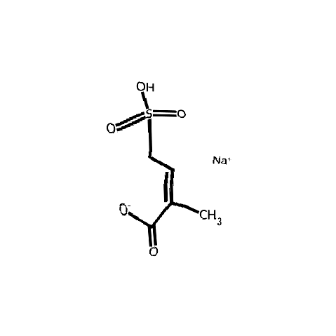 CC(=CCS(=O)(=O)O)C(=O)[O-].[Na+]